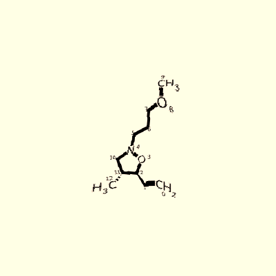 C=C[C@@H]1ON(CCCOC)C[C@H]1C